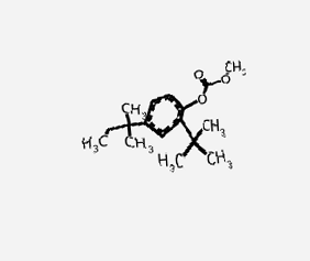 CCC(C)(C)c1ccc(OC(=O)OC)c(C(C)(C)C)c1